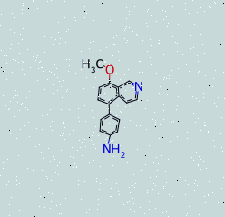 COc1ccc(-c2ccc(N)cc2)c2ccncc12